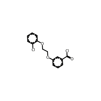 O=C(Cl)c1cccc(OCCOc2ccccc2Cl)c1